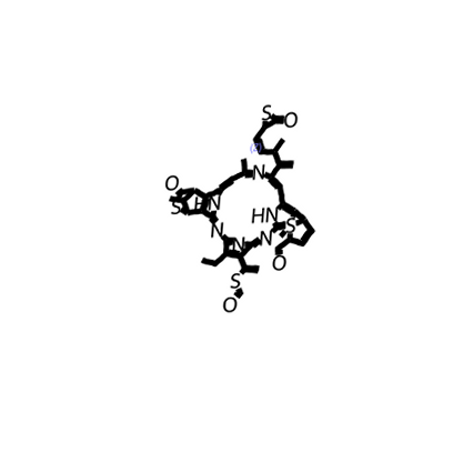 C=C(SC=O)C1=C(CC)c2nc1nc1[nH]c(cc(C(=C)C(C)/C=C\C3SC3=O)nc(C)cc3[nH]c(n2)c2c3C3C(=O)SC2C3C)=C2C3C=CC(C=O)S=123C